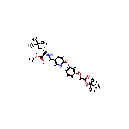 COC(=O)[C@H](CCC(C)(C)C)NCc1ccc(Oc2cccc(OCC(=O)OC(C)(C)C)c2)nc1